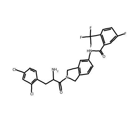 NC(Cc1ccc(Cl)cc1Cl)C(=O)N1Cc2ccc(NC(=O)c3cc(F)ccc3C(F)(F)F)cc2C1